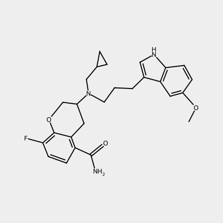 COc1ccc2[nH]cc(CCCN(CC3CC3)C3COc4c(F)ccc(C(N)=O)c4C3)c2c1